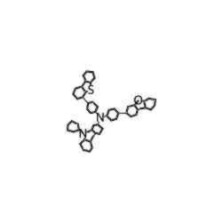 c1ccc(-n2c3ccccc3c3ccc(N(c4ccc(-c5ccc6c(c5)oc5ccccc56)cc4)c4ccc(-c5cccc6c5sc5ccccc56)cc4)cc32)cc1